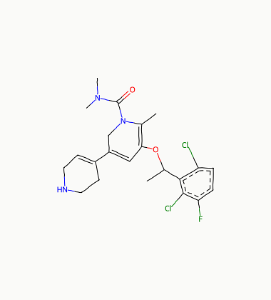 CC1=C(OC(C)c2c(Cl)ccc(F)c2Cl)C=C(C2=CCNCC2)CN1C(=O)N(C)C